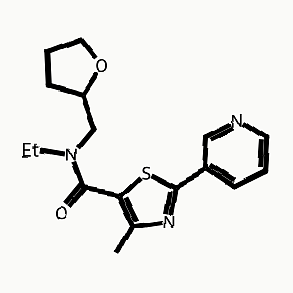 CCN(CC1CCCO1)C(=O)c1sc(-c2cccnc2)nc1C